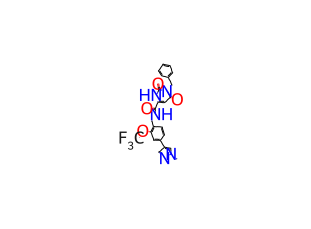 Cn1cc(-c2ccc(CNC(=O)c3cc(=O)n(Cc4ccccc4)c(=O)[nH]3)c(OC(F)(F)F)c2)cn1